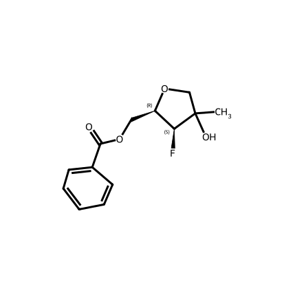 CC1(O)CO[C@H](COC(=O)c2ccccc2)[C@@H]1F